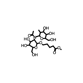 COC(=O)CCCCOC1OC(CO)C(O)C(O)C1N(C(C)=O)C1OC(CO)C(O)C(O)C1C